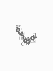 N#Cc1cnc2c(Cl)cc(NCc3cn(Cc4ccc(C(F)(F)F)cc4)nn3)cc2c1Nc1ccc(F)c(Cl)c1